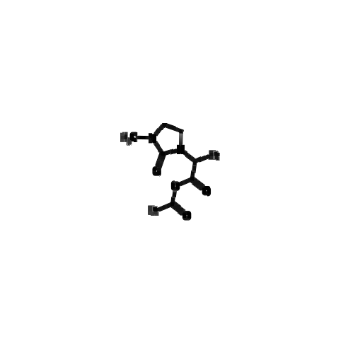 CCC(=O)OC(=O)C(CC)N1CCN(C)C1=O